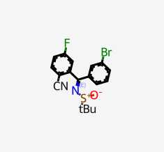 CC(C)(C)[S+]([O-])/N=C(\c1cccc(Br)c1)c1cc(F)ccc1C#N